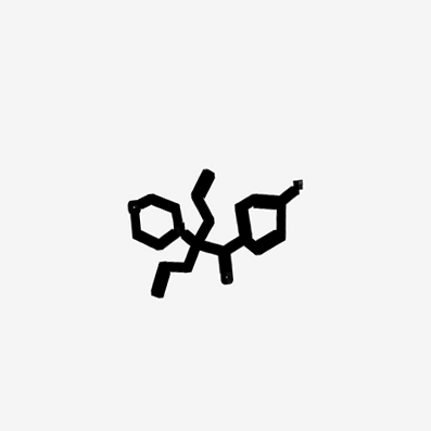 C=CCC(CC=C)(C(=O)c1ccc(F)cc1)N1CCOCC1